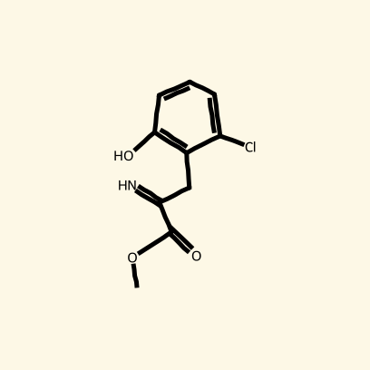 COC(=O)C(=N)Cc1c(O)cccc1Cl